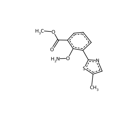 COC(=O)c1cccc(-c2ncc(C)s2)c1ON